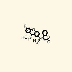 COc1ccc(N(C)c2cc(=O)oc3ccccc23)cc1C(c1ccc(F)cc1)S(=O)(=O)O